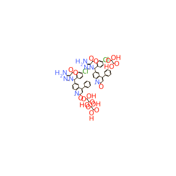 COC(=O)c1c(N)ncn1C(c1ccc(Cl)cc1)c1ccc2c(c1)c(-c1ccccc1)cc(=O)n2C.COC(=O)c1c(N)ncn1C(c1ccc(Cl)cc1)c1ccc2c(c1)c(-c1ccccc1)cc(=O)n2C.O=C(O)C(=O)O.O=C(O)C(=O)O.O=C(O)C(=O)O